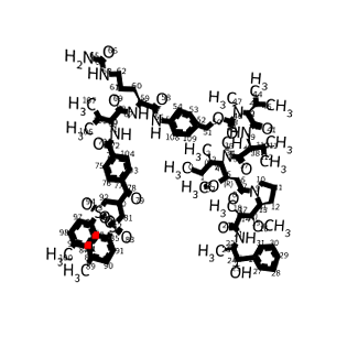 CC[C@H](C)[C@H]([C@@H](CC(=O)N1CCC[C@H]1[C@H](OC)[C@@H](C)C(=O)N[C@H](C)[C@@H](O)c1ccccc1)OC)N(C)C(=O)[C@@H](NC(=O)[C@H](C(C)C)N(C)C(=O)OCc1ccc(NC(=O)[C@H](CCCNC(N)=O)NC(=O)[C@@H](NC(=O)c2ccc(C(=O)C(CS(=O)(=O)c3ccc(C)cc3)CS(=O)(=O)c3ccc(C)cc3)cc2)C(C)C)cc1)C(C)C